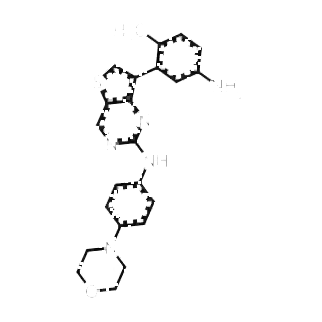 Cc1ccc(N)cc1-c1csc2cnc(Nc3ccc(N4CCOCC4)cc3)nc12